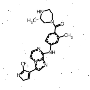 Cc1cc(Nc2nccn3c(C4=CCN=C4C(F)(F)F)cnc23)ccc1C(=O)N1CCN[C@@H](C)C1